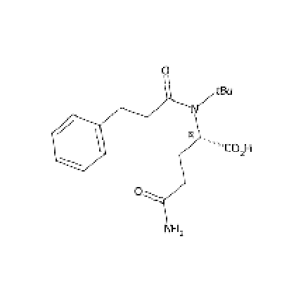 CC(C)(C)N(C(=O)CCc1ccccc1)[C@@H](CCC(N)=O)C(=O)O